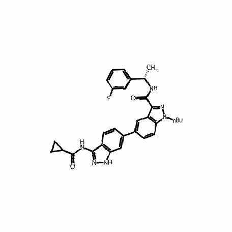 CCCCn1nc(C(=O)N[C@@H](C)c2cccc(F)c2)c2cc(-c3ccc4c(NC(=O)C5CC5)n[nH]c4c3)ccc21